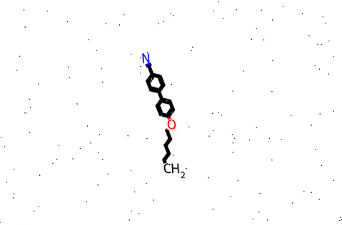 [CH2]CCCCCOc1ccc(-c2ccc(C#N)cc2)cc1